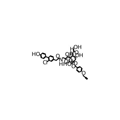 C#CCOc1ccc(CO[C@]2(C(=O)O)C[C@H](O)[C@@H](NC(=O)CO)[C@H]([C@H](O)[C@H](O)CNC(=O)Cc3ccc(-c4ccc(O)cc4)c(Cl)c3)O2)cc1